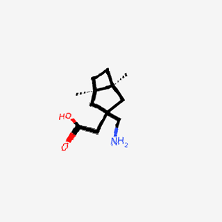 C[C@@]12CC[C@]1(C)CC(CN)(CC(=O)O)C2